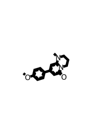 COc1ccc(-c2cc3n(c(=O)c2)CCCN3C)cc1